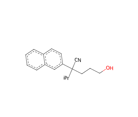 CC(C)C(C#N)(CCCO)c1ccc2ccccc2c1